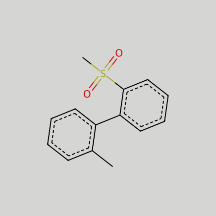 Cc1ccccc1-c1ccccc1S(C)(=O)=O